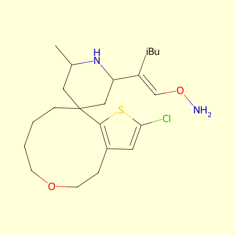 CCC(C)C(=CON)C1CC2(CCCCOCCc3cc(Cl)sc32)CC(C)N1